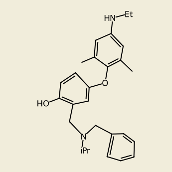 CCNc1cc(C)c(Oc2ccc(O)c(CN(Cc3ccccc3)C(C)C)c2)c(C)c1